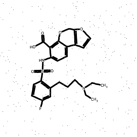 CCN(CC)CCCc1cc(F)ccc1S(=O)(=O)Nc1ccc2c(c1C(=O)O)OCc1occc1-2